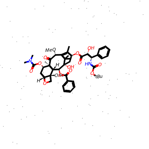 CO[C@H]1C(=O)[C@]2(C)[C@@H](OC(=O)N(C)C)C[C@H]3OC[C@@]3(OC(C)=O)[C@H]2[C@H](OC(=O)c2ccccc2)[C@]2(O)C[C@H](OC(=O)[C@H](O)[C@@H](NC(=O)OC(C)(C)C)c3ccccc3)C(C)=C1C2(C)C